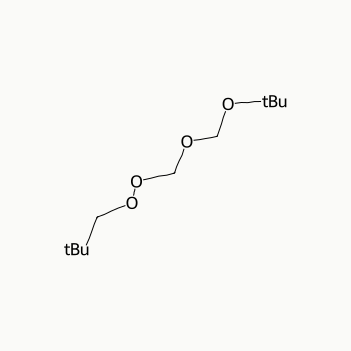 CC(C)(C)COOCOCOC(C)(C)C